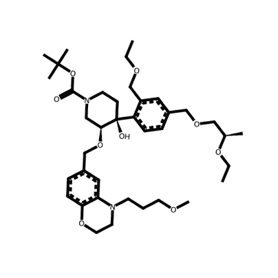 CCOCc1cc(COC[C@@H](C)OCC)ccc1[C@@]1(O)CCN(C(=O)OC(C)(C)C)C[C@@H]1OCc1ccc2c(c1)N(CCCOC)CCO2